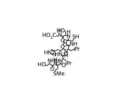 CSCCC(NC(=O)C(N)CO)C(=O)NC(CC(C)C)C(=O)NC(Cc1c[nH]cn1)C(=O)NC(CC(C)C)C(=O)NC(CS)C(=O)NC(CO)C(=O)NCC(=O)O